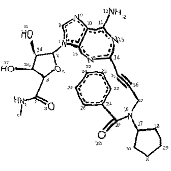 CNC(=O)C1OC(n2cnc3c(N)nc(C#CCN(C(=O)c4ccccc4)C4CCCC4)nc32)[C@H](O)[C@@H]1O